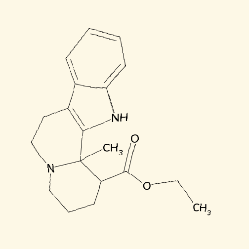 CCOC(=O)C1CCCN2CCc3c([nH]c4ccccc34)C12C